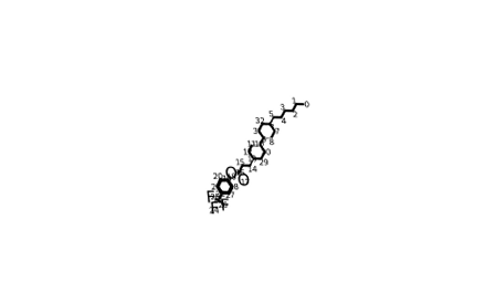 CCCCCC[C@H]1CC[C@H]([C@H]2CC[C@H](CCC(=O)Oc3ccc(C(F)(F)F)cc3)CC2)CC1